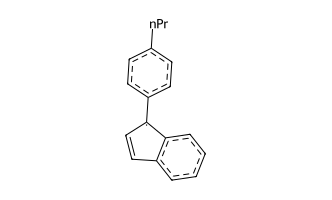 CCCc1ccc([C]2C=Cc3ccccc32)cc1